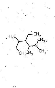 CCC(C)C(CC)C(C)N(C)C